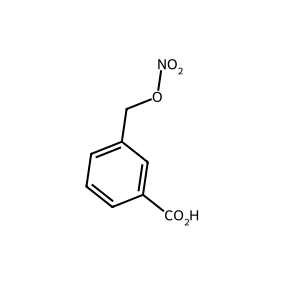 O=C(O)c1cccc(CO[N+](=O)[O-])c1